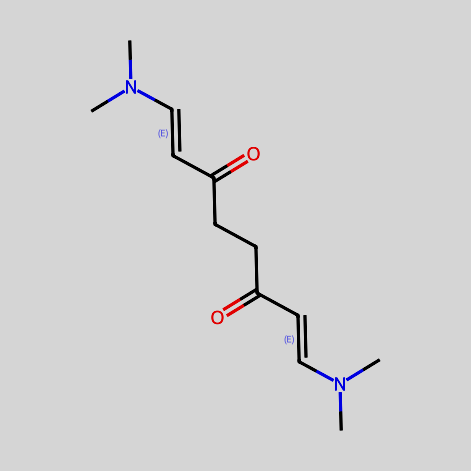 CN(C)/C=C/C(=O)CCC(=O)/C=C/N(C)C